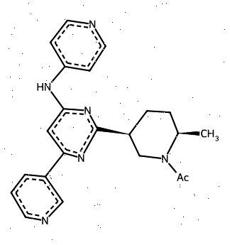 CC(=O)N1C[C@@H](c2nc(Nc3ccncc3)cc(-c3cccnc3)n2)CC[C@H]1C